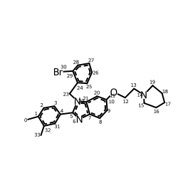 Cc1ccc(-c2nc3ccc(OCCN4CCCCC4)cc3n2Cc2ccccc2Br)cc1C